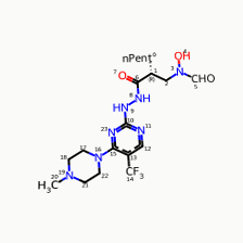 CCCCC[C@H](CN(O)C=O)C(=O)NNc1ncc(C(F)(F)F)c(N2CCN(C)CC2)n1